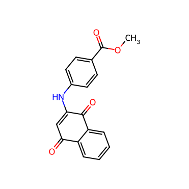 COC(=O)c1ccc(NC2=CC(=O)c3ccccc3C2=O)cc1